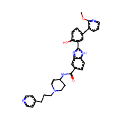 COc1ncccc1-c1ccc(O)c(-c2nc3cc(C(=O)NC4CCN(CCCc5ccncc5)CC4)ccc3[nH]2)c1